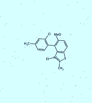 CC[n+]1c(C)sc2ccc(OC)c(-c3ccc(C)cc3Cl)c21